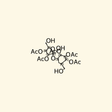 CC(=O)O[C@H]1[C@H](OC(C)=O)[C@@H](CO)C[C@H](O[C@]2(CO)O[C@H](CO)[C@@H](OC(C)=O)[C@@H]2OC(C)=O)[C@@H]1OC(C)=O